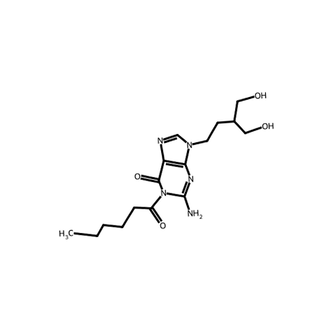 CCCCCC(=O)n1c(N)nc2c(ncn2CCC(CO)CO)c1=O